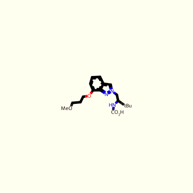 COCCCOc1cccc2cn(CC(NC(=O)O)C(C)(C)C)nc12